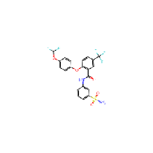 NS(=O)(=O)c1cccc(NC(=O)c2cc(C(F)(F)F)ccc2Oc2ccc(OC(F)F)cc2)c1